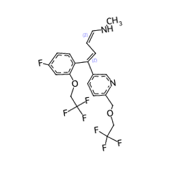 CN/C=C\C=C(\c1ccc(COCC(F)(F)F)nc1)c1ccc(F)cc1OCC(F)(F)F